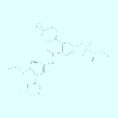 C[C@@H]1CN(c2cc(NC(=O)c3cnc(NS(=O)(=O)[C@H](C)CO)cc3N3CCC4(CC3)CC4)ccc2OCF)CCO1